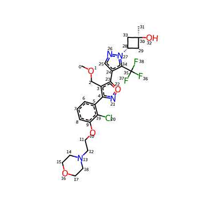 COCc1c(-c2cccc(OCCN3CCOCC3)c2Cl)noc1-c1cnn([C@H]2C[C@](C)(O)C2)c1C(F)(F)F